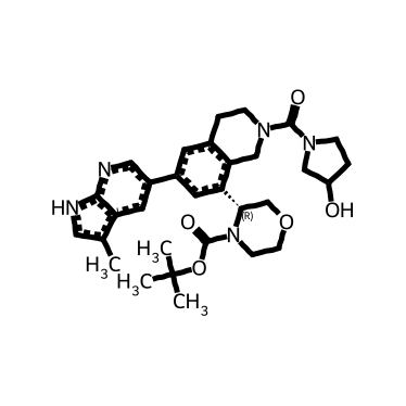 Cc1c[nH]c2ncc(-c3cc4c(c([C@@H]5COCCN5C(=O)OC(C)(C)C)c3)CN(C(=O)N3CCC(O)C3)CC4)cc12